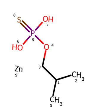 CC(C)COP(O)(O)=S.[Zn]